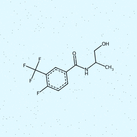 CC(CO)NC(=O)c1ccc(F)c(C(F)(F)F)c1